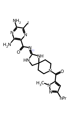 CCCc1cc(C(=O)N2CCC3(CC2)CN/C(=N\C(=O)c2nc(I)c(N)nc2N)N3)n(C)n1